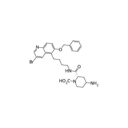 NC1CCN(C(=O)O)[C@H](C(=O)NCCCCc2c(OCc3ccccc3)ccc3ncc(Br)cc23)C1